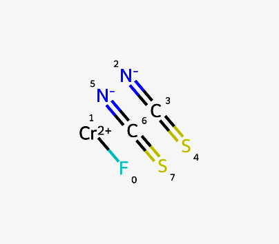 [F][Cr+2].[N-]=C=S.[N-]=C=S